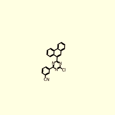 N#Cc1cccc(-c2nc(Cl)nc(-c3cc4ccccc4c4ccccc34)n2)c1